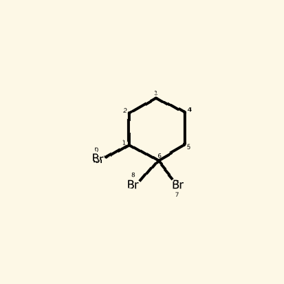 BrC1CCCCC1(Br)Br